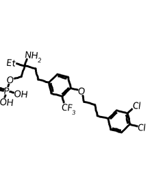 CCC(N)(CCc1ccc(OCCCc2ccc(Cl)c(Cl)c2)c(C(F)(F)F)c1)COP(=O)(O)O